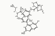 CCc1c(F)ccc2cc(O)cc(-c3cc4nc(OC[C@@]56CCCN5C[C@H](F)C6)nc5c4c(n3)OC[C@H](CCO)N5C)c12